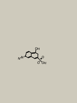 [N-]=[N+]=C1C=CC2=C(O)CC(S(=O)(=O)O)=CC2=C1